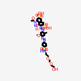 COc1cc(/N=N/c2c(S(=O)(=O)O)cc3cc(S(=O)(=O)O)cc(NC(C)=O)c3c2O)c(C)cc1/N=N/c1ccc(S(=O)(=O)NCCCOCCOCCO)cc1